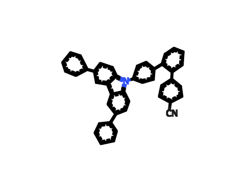 N#Cc1ccc(-c2ccccc2-c2ccc(-n3c4ccc(-c5ccccc5)cc4c4cc(-c5ccccc5)ccc43)cc2)cc1